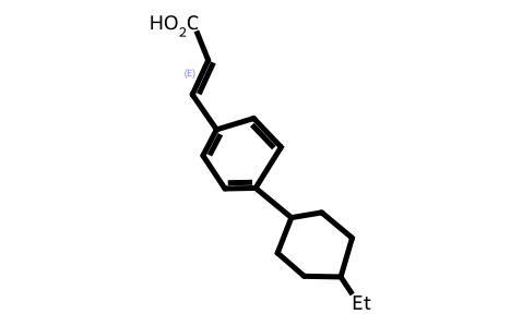 CCC1CCC(c2ccc(/C=C/C(=O)O)cc2)CC1